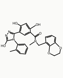 Cc1ccccc1-n1c(O)nnc1-c1cc(C(=O)N(C)Cc2cccc3c2OCCO3)c(O)cc1O